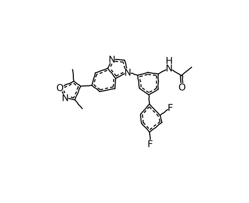 CC(=O)Nc1cc(-c2ccc(F)cc2F)cc(-n2cnc3cc(-c4c(C)noc4C)ccc32)c1